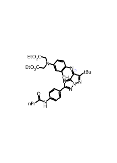 CCCC(=O)Nc1ccc(-c2nc3n(n2)N=C(C(C)(C)C)/C3=N/c2ccc(N(CC(=O)OCC)CC(=O)OCC)cc2C)cc1